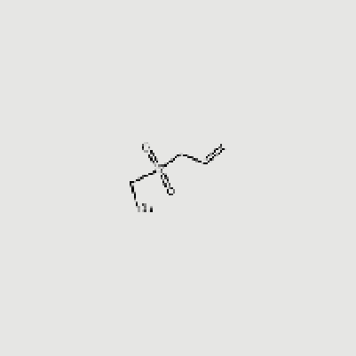 C=C[CH]S(=O)(=O)CCCCC